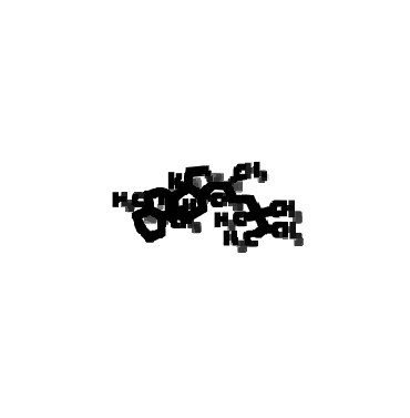 CC(C)C(C)(C)CC[C@@H](C)[C@H]1CC[C@H]2[C@@H]3CC[C@]4(C)CCCC[C@]4(C)[C@H]3CC[C@]12C